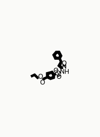 CCCOC(=O)c1ccc(S(=O)(=O)Nc2cc(-c3ccccc3)on2)cc1